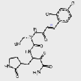 CC(C)(C)C[C@H](NC(=O)/C=C/c1ccc(Cl)cc1Cl)C(=O)NC(CC1CCNC1=O)C(=O)C(N)=O